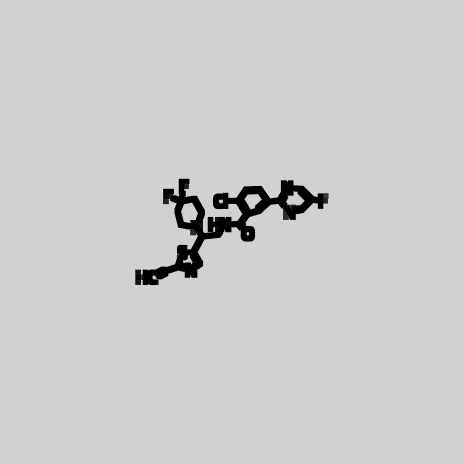 C#Cc1ncc(C(CNC(=O)c2cc(-c3ncc(F)cn3)ccc2Cl)N2CCC(F)(F)CC2)s1